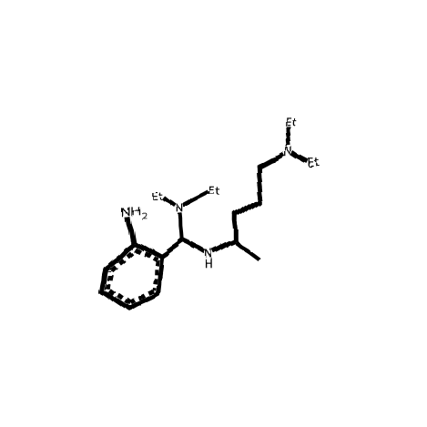 CCN(CC)CCCC(C)NC(c1ccccc1N)N(CC)CC